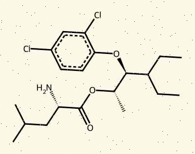 CCC(CC)[C@H](Oc1ccc(Cl)cc1Cl)[C@H](C)OC(=O)[C@@H](N)CC(C)C